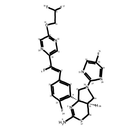 NC1=N[C@@]2(c3cc(/C=C(\F)c4cnc(OCC(F)F)cn4)ccc3F)CN(c3ncc(F)cn3)C[C@H]2CS1